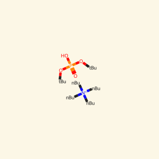 CC(C)(C)OP(=O)(O)OC(C)(C)C.CCCC[N+](CCCC)(CCCC)CCCC